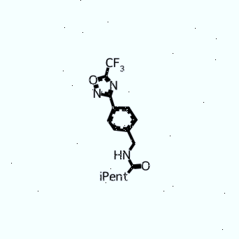 CCCC(C)C(=O)NCc1ccc(-c2noc(C(F)(F)F)n2)cc1